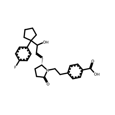 O=C(O)c1ccc(CCN2C(=O)CC[C@@H]2/C=C/C(O)C2(c3ccc(F)cc3)CCCC2)cc1